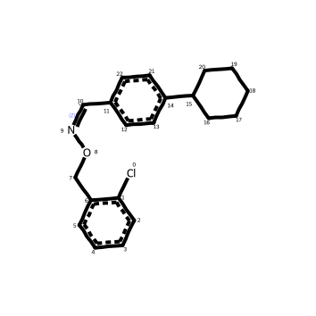 Clc1ccccc1CO/N=[C]\c1ccc(C2CCCCC2)cc1